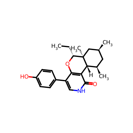 CC[C@H]1Oc2c(-c3ccc(O)cc3)c[nH]c(=O)c2[C@H]2[C@H](C)C[C@H](C)C[C@]12C